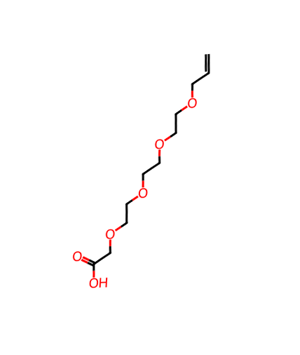 C=CCOCCOCCOCCOCC(=O)O